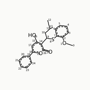 COc1ccccc1SC(CC(C)C)c1c(O)cc(-c2ccccc2)oc1=O